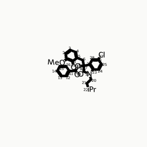 COc1cccc(CC2(OC(=O)c3ccccc3)C(=O)N(CCC(C)C)c3ccc(Cl)cc32)c1O